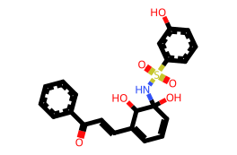 O=C(C=CC1=CC=CC(O)(NS(=O)(=O)c2cccc(O)c2)C1O)c1ccccc1